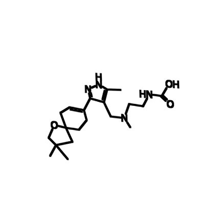 Cc1[nH]nc(C2=CCC3(CC2)CC(C)(C)CO3)c1CN(C)CCNC(=O)O